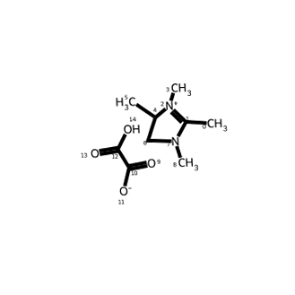 CC1=[N+](C)C(C)CN1C.O=C([O-])C(=O)O